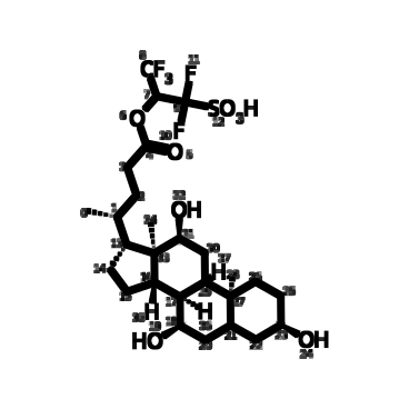 C[C@H](CCC(=O)OC(C(F)(F)F)C(F)(F)S(=O)(=O)O)[C@H]1CC[C@H]2[C@@H]3[C@H](O)CC4C[C@H](O)CC[C@]4(C)[C@H]3C[C@H](O)[C@]12C